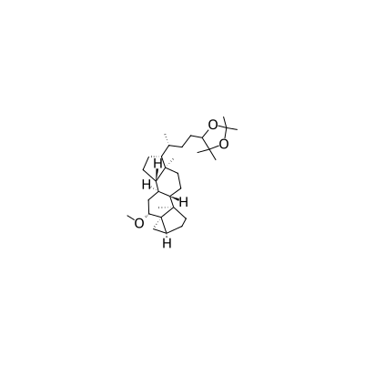 CO[C@@H]1C[C@H]2[C@@H]3CC[C@H]([C@H](C)CCC4OC(C)(C)OC4(C)C)[C@@]3(C)CC[C@@H]2[C@@]2(C)CC[C@H]3C[C@]312